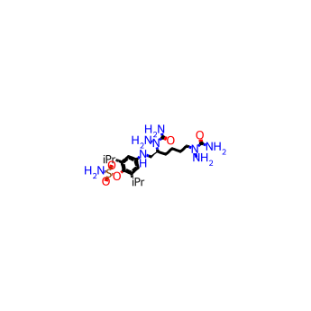 CC(C)c1cc(NC[C@H](CCCCN(N)C(N)=O)N(N)C(N)=O)cc(C(C)C)c1OS(N)(=O)=O